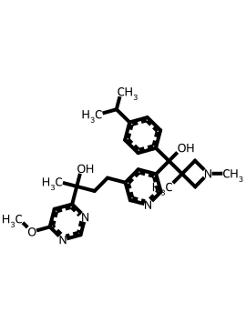 COc1cc(C(C)(O)CCc2cncc(C(O)(c3ccc(C(C)C)cc3)C3(C)CN(C)C3)c2)ncn1